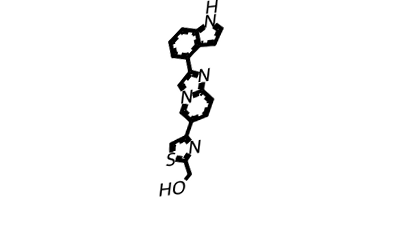 OCc1nc(-c2ccc3nc(-c4cccc5[nH]ccc45)cn3c2)cs1